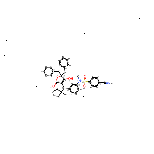 CCC(C)(CC)C(C1=C(O)C(Cc2ccccc2)(Cc2ccccc2)OC1=O)c1cccc(N(C)S(=O)(=O)c2ccc(C#N)cc2)c1